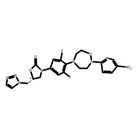 O=C1O[C@@H](Cn2ccnn2)CN1c1cc(F)c(N2CCON(c3ccc([N+](=O)[O-])cn3)CC2)c(F)c1